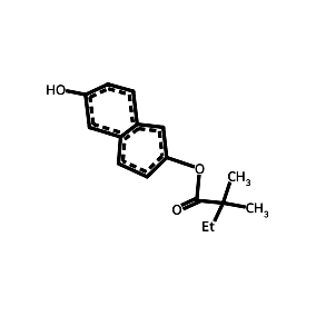 CCC(C)(C)C(=O)Oc1ccc2cc(O)ccc2c1